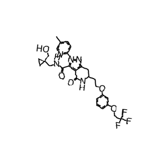 Cc1ccc(-n2nc3c(c2C(=O)NCC2(CO)CC2)C(=O)NC(CCOc2cccc(OCC(F)(F)F)c2)C3)nc1